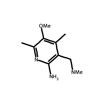 CNCc1c(N)nc(C)c(OC)c1C